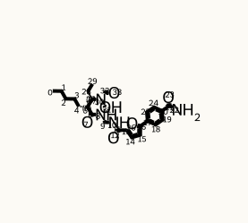 CCCCC[C@@H](C(=O)NCNC(=O)c1ccc(-c2ccc(C(N)=O)cc2)o1)[C@@H](CC)N(O)C=O